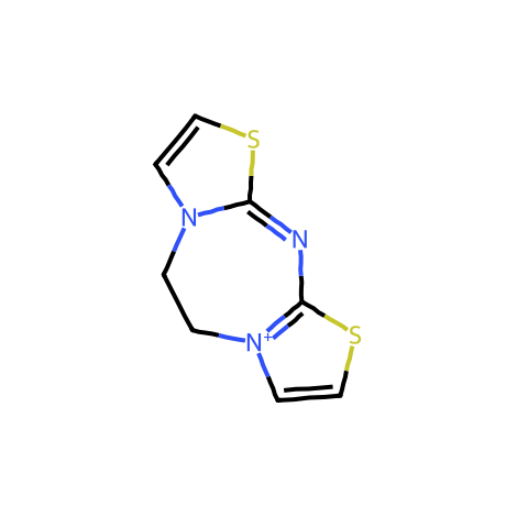 C1=CN2CC[n+]3ccsc3N=C2S1